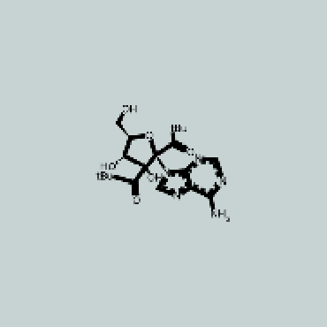 CC(C)(C)C(=O)[C@@]1(O)[C@H](O)[C@@H](CO)O[C@@]1(C(=O)C(C)(C)C)n1cnc2c(N)ncnc21